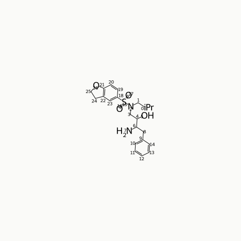 CC(C)CN(CC(O)C(N)Cc1ccccc1)S(=O)(=O)c1ccc2c(c1)CCO2